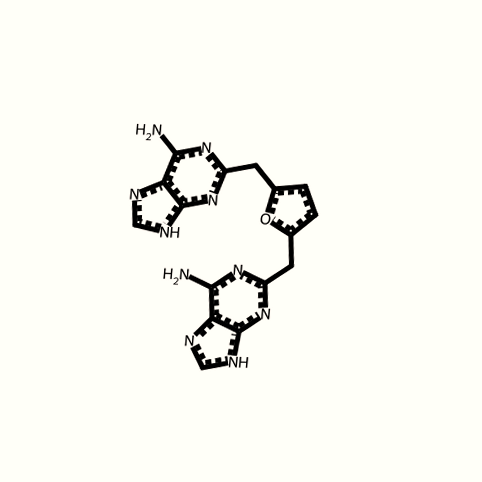 Nc1nc(Cc2ccc(Cc3nc(N)c4nc[nH]c4n3)o2)nc2[nH]cnc12